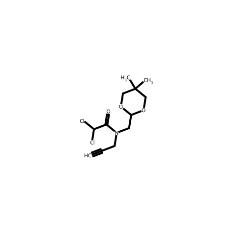 C#CCN(CC1OCC(C)(C)CO1)C(=O)C(Cl)Cl